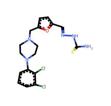 NC(=S)NN=Cc1ccc(CN2CCN(c3cccc(Cl)c3Cl)CC2)o1